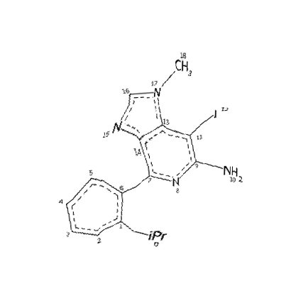 CC(C)c1ccccc1-c1nc(N)c(I)c2c1ncn2C